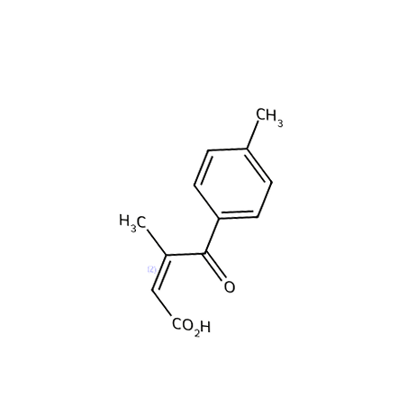 C/C(=C/C(=O)O)C(=O)c1ccc(C)cc1